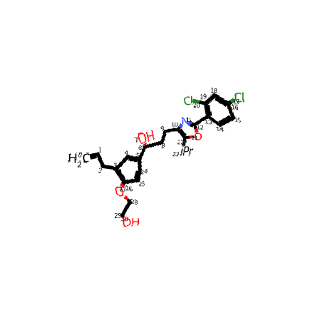 C=CCc1cc(C(O)CCc2nc(-c3ccc(Cl)cc3Cl)oc2C(C)C)ccc1OCCO